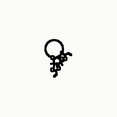 C=CC(=O)ON1C(C)(C)CC2(CC1(C)C)OCCCCCCCCCCCN(C(=O)C=C)C2=O